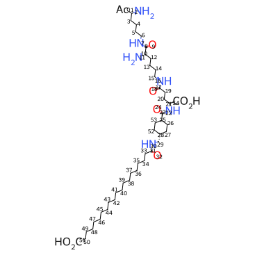 CC(=O)[C@@H](N)CCCCNC(=O)[C@@H](N)CCCCNC(=O)CC[C@H](NC(=O)[C@H]1CC[C@H](CNC(=O)CCCCCCCCCCCCCCCCCCC(=O)O)CC1)C(=O)O